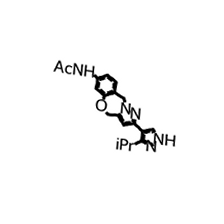 CC(=O)Nc1ccc2c(c1)OCc1cc(-c3c[nH]nc3C(C)C)nn1C2